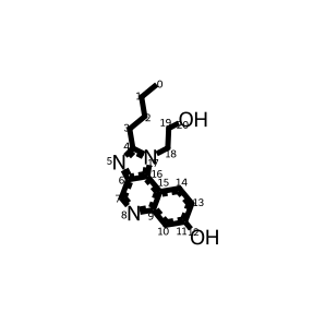 CCCCc1nc2cnc3cc(O)ccc3c2n1CCO